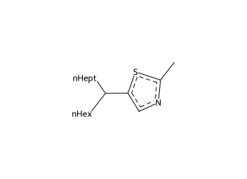 CCCCCCCC(CCCCCC)c1cnc(C)s1